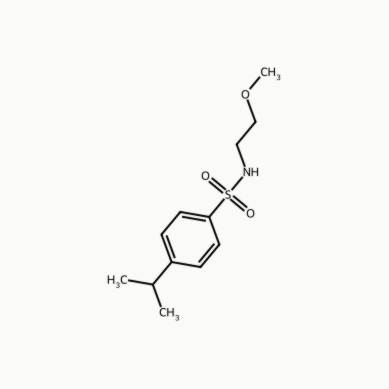 COCCNS(=O)(=O)c1ccc(C(C)C)cc1